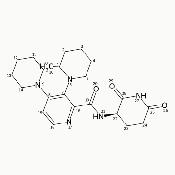 CC1CCCCN1c1c(N2CCCCC2)ccnc1C(=O)N[C@@H]1CCC(=O)NC1=O